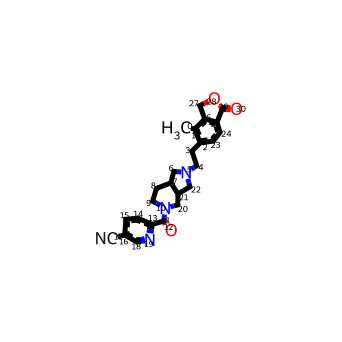 Cc1c(CCN2CC3CCN(C(=O)c4ccc(C#N)cn4)CC3C2)ccc2c1COC2=O